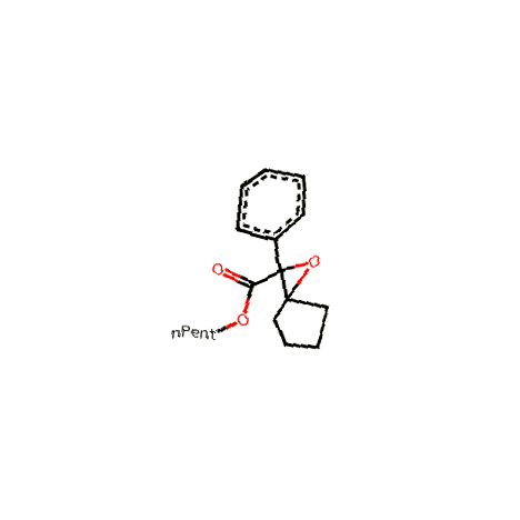 CCCCCOC(=O)C1(c2ccccc2)OC12CCCC2